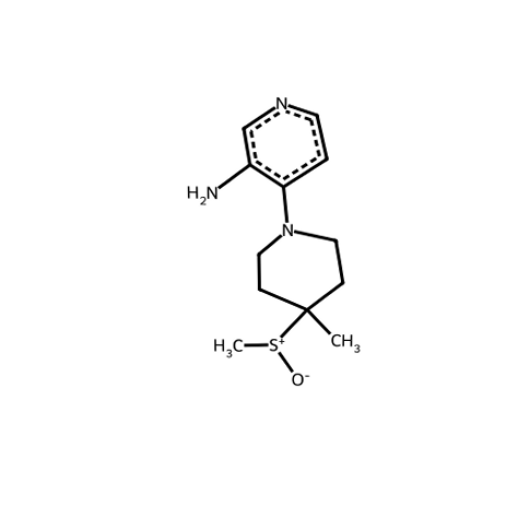 C[S+]([O-])C1(C)CCN(c2ccncc2N)CC1